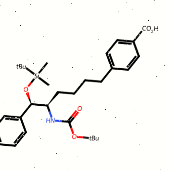 CC(C)(C)OC(=O)N[C@H](CCCCc1ccc(C(=O)O)cc1)[C@H](O[Si](C)(C)C(C)(C)C)c1ccccc1